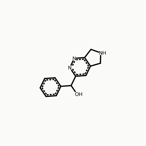 OC(c1ccccc1)c1cc2c(nn1)CNC2